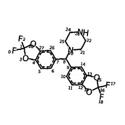 FC1(F)Oc2ccc(C(c3ccc4c(c3)OC(F)(F)O4)N3CCNCC3)cc2O1